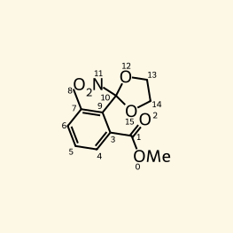 COC(=O)c1cccc(C)c1C1([N+](=O)[O-])OCCO1